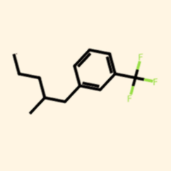 [CH2]CCC(C)Cc1cccc(C(F)(F)F)c1